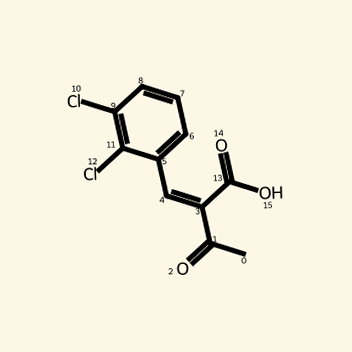 CC(=O)/C(=C/c1cccc(Cl)c1Cl)C(=O)O